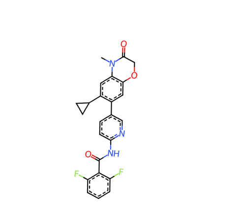 CN1C(=O)COc2cc(-c3ccc(NC(=O)c4c(F)cccc4F)nc3)c(C3CC3)cc21